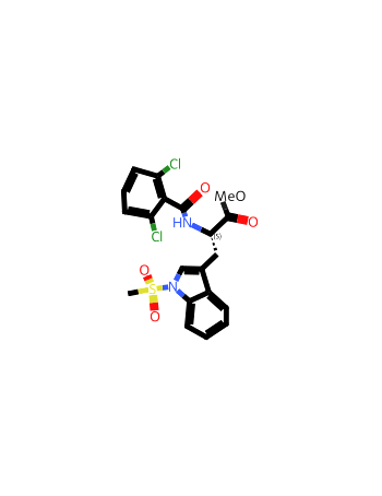 COC(=O)[C@H](Cc1cn(S(C)(=O)=O)c2ccccc12)NC(=O)c1c(Cl)cccc1Cl